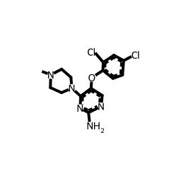 CN1CCN(c2nc(N)ncc2Oc2ccc(Cl)cc2Cl)CC1